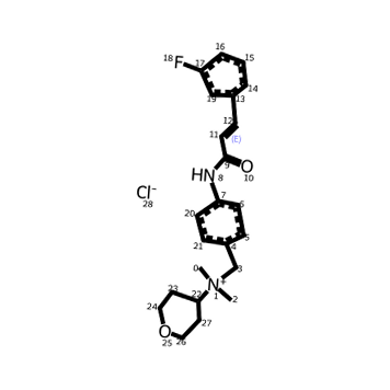 C[N+](C)(Cc1ccc(NC(=O)/C=C/c2cccc(F)c2)cc1)C1CCOCC1.[Cl-]